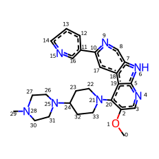 COc1cnc2[nH]c3cnc(-c4cccnc4)cc3c2c1N1CCC(N2CCN(C)CC2)CC1